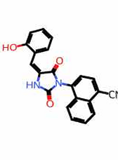 N#Cc1ccc(N2C(=O)NC(=Cc3ccccc3O)C2=O)c2ccccc12